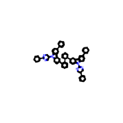 c1ccc(-c2cnc(-n3c4ccc(-c5ccccc5)cc4c4cc(-c5ccccc5-c5ccccc5-c5ccc6c(c5)c5cc(-c7ccccc7)ccc5n6-c5cnc(-c6ccccc6)nc5)ccc43)nc2)cc1